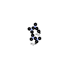 C=CC1=CC=C(c2ccc3c(c2)c2cc(N(c4ccccc4)c4ccc(-c5ccc(N(c6ccc7c(c6)c6cc(C=C)ccc6n7-c6ccccc6)C6C=CC=CC6)cc5)cc4)ccc2n3-c2ccccc2)CC1